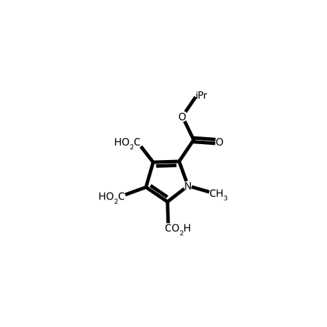 CC(C)OC(=O)c1c(C(=O)O)c(C(=O)O)c(C(=O)O)n1C